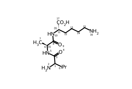 CC(C)C(N)C(=O)N[C@@H](C)C(=O)N[C@@H](CCCCN)C(=O)O